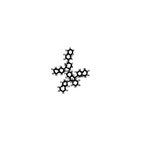 c1ccc2cc(-c3ccc(-c4ccc5c(-c6ccc7ccccc7c6)c6ccccc6c(-c6ccc7ccccc7c6)c5c4)c(-c4ccc5ccccc5c4)n3)ccc2c1